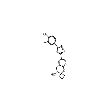 O[C@@H]1Cc2cc(-c3nc(-c4ccc(Cl)c(F)c4)no3)cnc2OC12CCC2